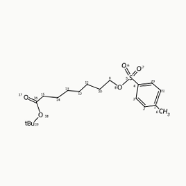 Cc1ccc(S(=O)(=O)OCCCCCCCC(=O)OC(C)(C)C)cc1